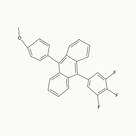 COc1ccc(-c2c3ccccc3c(-c3cc(F)c(F)c(F)c3)c3ccccc23)cc1